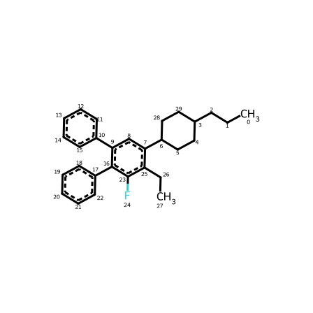 CCCC1CCC(c2cc(-c3ccccc3)c(-c3ccccc3)c(F)c2CC)CC1